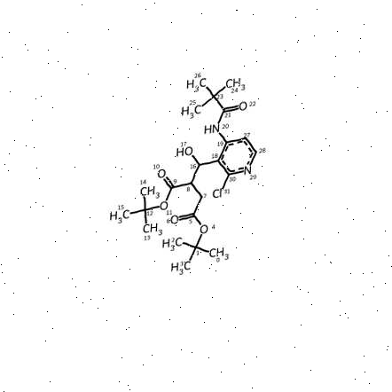 CC(C)(C)OC(=O)CC(C(=O)OC(C)(C)C)C(O)c1c(NC(=O)C(C)(C)C)ccnc1Cl